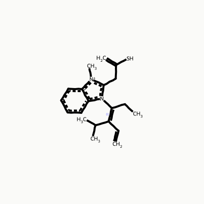 C=C/C(=C(\CC)n1c(CC(=C)S)[n+](C)c2ccccc21)C(C)C